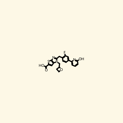 O=C(O)c1cc2c(nc(Cc3ccc(-c4cccc(O)n4)cc3F)n2CC2CCO2)s1